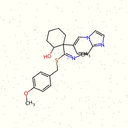 C/N=C(/SCc1ccc(OC)cc1)C1(c2ccc3nccn3c2)CCCCC1O